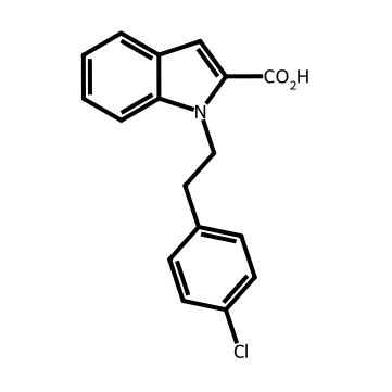 O=C(O)c1cc2ccccc2n1CCc1ccc(Cl)cc1